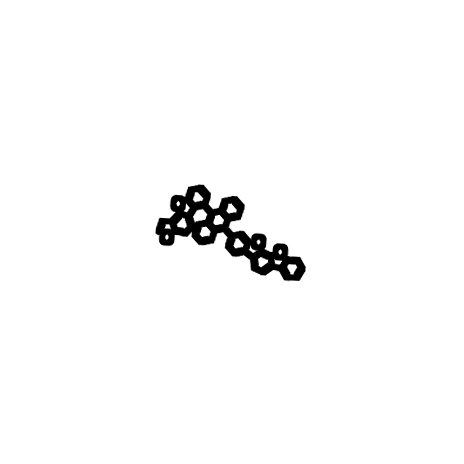 c1ccc2c(c1)oc1c2ccc2c3ccc(-c4c5ccccc5c(-c5cccc6oc7c8ccoc8ccc7c56)c5ccccc45)cc3oc21